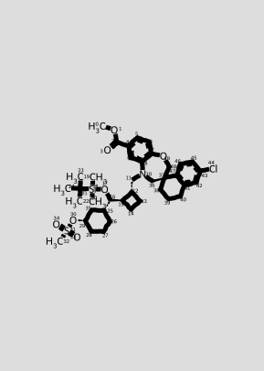 COC(=O)c1ccc2c(c1)N(C[C@@H]1CC[C@H]1C(O[Si](C)(C)C(C)(C)C)[C@@H]1CCC[C@H](OS(C)(=O)=O)C1)C[C@@]1(CCCc3cc(Cl)ccc31)CO2